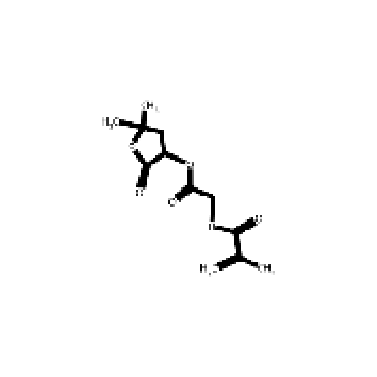 C=C(C)C(=O)OCC(=O)OC1CC(C)(C)OC1=O